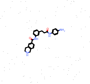 Nc1ccc(NC(=O)CCc2cccc(NC(=O)c3ccc4c(c3)CCNC4)c2)cc1